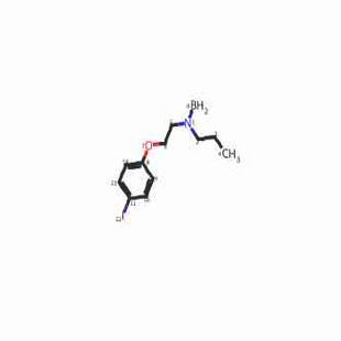 BN(CCC)CCOc1ccc(I)cc1